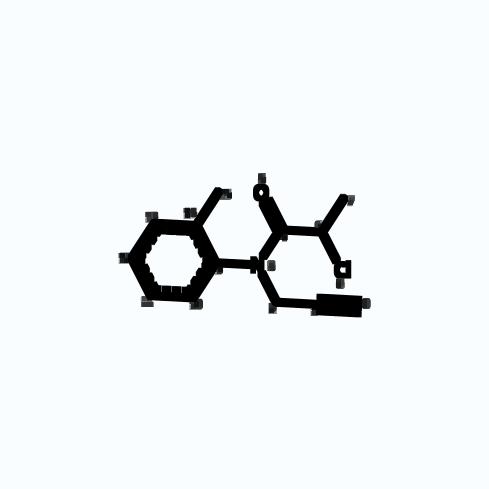 C#CCN(C(=O)C(C)Cl)c1ccccc1C